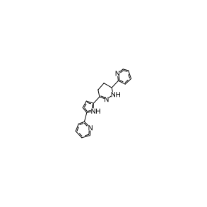 c1ccc(-c2ccc(C3=NNC(c4ccccn4)CC3)[nH]2)nc1